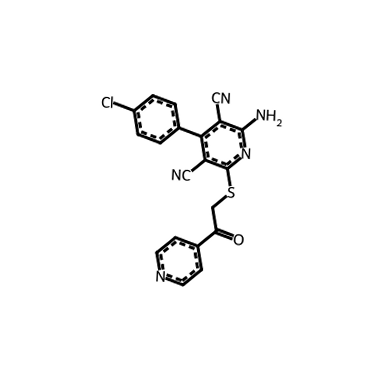 N#Cc1c(N)nc(SCC(=O)c2ccncc2)c(C#N)c1-c1ccc(Cl)cc1